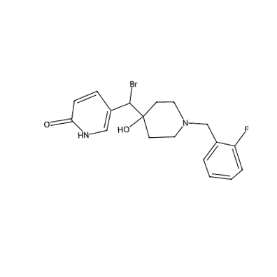 O=c1ccc(C(Br)C2(O)CCN(Cc3ccccc3F)CC2)c[nH]1